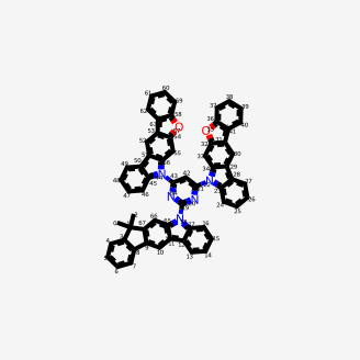 CC1(C)c2ccccc2-c2cc3c4ccccc4n(-c4nc(-n5c6ccccc6c6cc7c(cc65)oc5ccccc57)cc(-n5c6ccccc6c6cc7c(cc65)oc5ccccc57)n4)c3cc21